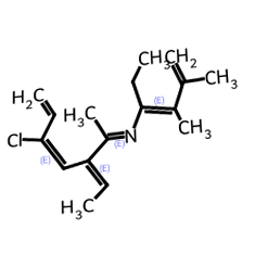 C=C\C(Cl)=C/C(=C\C)C(/C)=N/C(CC)=C(\C)C(=C)C